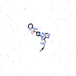 CC#CCNCC1=C2C=NC=C[N+]2(N)C(c2ccc(C(=O)Nc3ccccn3)cc2)=N1